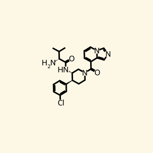 CC(C)[C@@H](N)C(=O)N[C@@H]1CN(C(=O)c2cccn3cncc23)CC[C@H]1c1cccc(Cl)c1